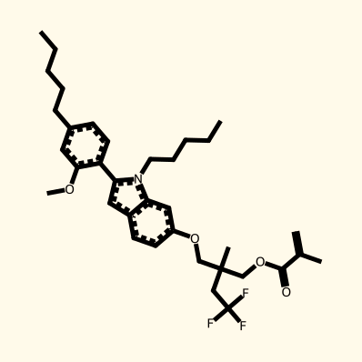 C=C(C)C(=O)OCC(C)(COc1ccc2cc(-c3ccc(CCCCC)cc3OC)n(CCCCC)c2c1)CC(F)(F)F